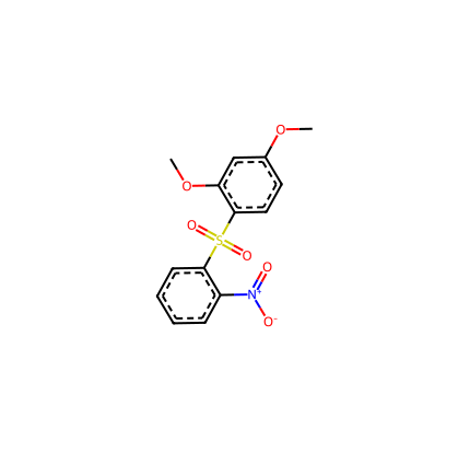 COc1ccc(S(=O)(=O)c2ccccc2[N+](=O)[O-])c(OC)c1